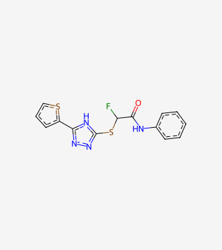 O=C(Nc1ccccc1)C(F)Sc1nnc(-c2cccs2)[nH]1